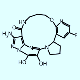 Nc1nn2c(O)c(O)c3nc2c1C(=O)NCCCOc1ncc(F)cc1C1CCCN31